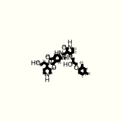 Cc1ccc(OCC(O)CNc2cc[nH]c(=O)c2-c2nc3cc4c(cc3[nH]2)C(=O)N(C(CCO)C2CCNCC2)C4=O)c(C)c1